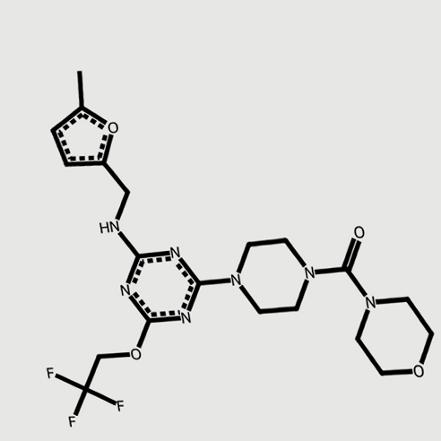 Cc1ccc(CNc2nc(OCC(F)(F)F)nc(N3CCN(C(=O)N4CCOCC4)CC3)n2)o1